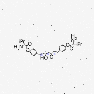 CC(C)C(N)C(=O)Oc1ccc(/C=C/C(=O)/C=C(O)/C=C/c2ccc(OC(=O)C(N)C(C)C)cc2)cc1